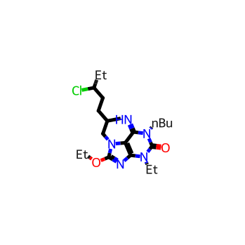 CCCCn1c(=N)c2c(nc(OCC)n2CC(C)CCC(Cl)CC)n(CC)c1=O